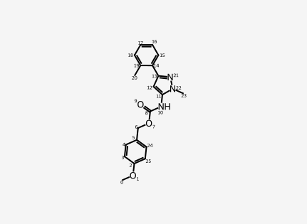 COc1ccc(COC(=O)Nc2cc(-c3ccccc3C)nn2C)cc1